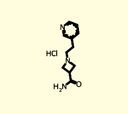 Cl.NC(=O)C1CN(CCc2cccnc2)C1